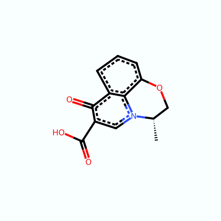 C[C@H]1COc2cccc3c(=O)c(C(=O)O)cn1c23